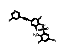 Cc1cc(F)c(C)c(S(=O)(=O)Nc2c(F)cc(C#Cc3cncc(F)c3)cc2F)c1